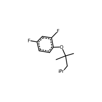 CC(C)CC(C)(C)Oc1ccc(F)cc1F